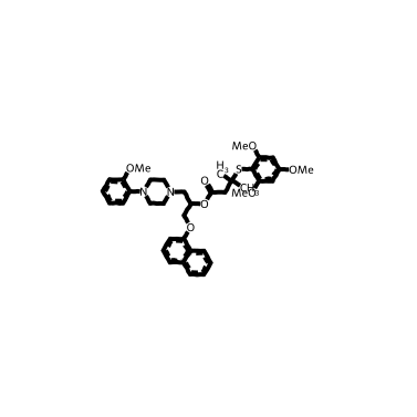 COc1cc(OC)c(SC(C)(C)CC(=O)OC(COc2cccc3ccccc23)CN2CCN(c3ccccc3OC)CC2)c(OC)c1